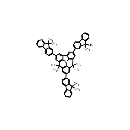 CC1(C)c2ccccc2-c2ccc(-c3cc4c5c(c3)C(C)(C)c3cc(-c6ccc7c(c6)C(C)(C)c6ccccc6-7)cc6c7cc(-c8ccc9c(c8)C(C)(C)c8ccccc8-9)cc(c7n-5c36)C4(C)C)cc21